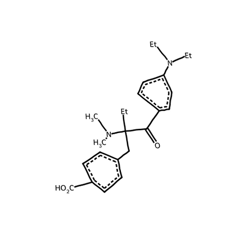 CCN(CC)c1ccc(C(=O)C(CC)(Cc2ccc(C(=O)O)cc2)N(C)C)cc1